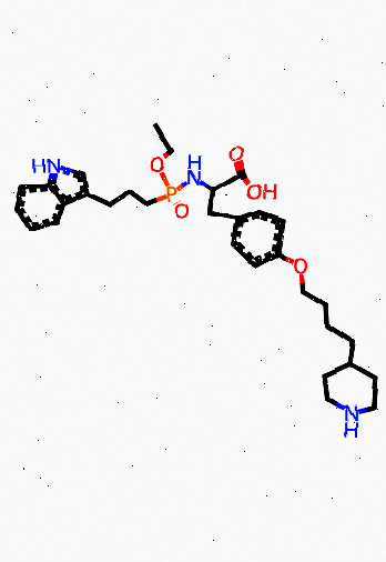 CCOP(=O)(CCCc1c[nH]c2ccccc12)NC(Cc1ccc(OCCCCC2CCNCC2)cc1)C(=O)O